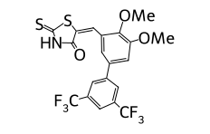 COc1cc(-c2cc(C(F)(F)F)cc(C(F)(F)F)c2)cc(C=C2SC(=S)NC2=O)c1OC